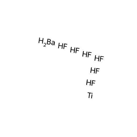 F.F.F.F.F.F.[BaH2].[Ti]